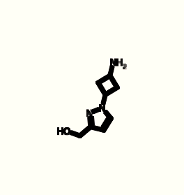 NC1CC(n2ccc(CO)n2)C1